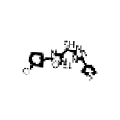 CCn1c(-c2ccsc2)nnc1C(S)c1noc(-c2cccc(Cl)c2)n1